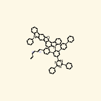 C=C/C=C\C=C\c1ccc(-c2cc(-c3nc(-c4ccccc4)nc(-c4ccccc4)n3)cc(-c3ccc(-c4ccccc4)cc3)c2-n2c3ccccc3c3c4oc5cc6c7ccccc7n(-c7ccccc7)c6cc5c4ccc32)cc1